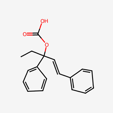 CCC(C=Cc1ccccc1)(OC(=O)O)c1ccccc1